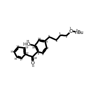 CCCCOCCCCc1ccc(C(=O)c2ccccc2)c(O)c1